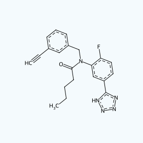 C#Cc1cccc(CN(C(=O)CCCC)c2cc(-c3nnn[nH]3)ccc2F)c1